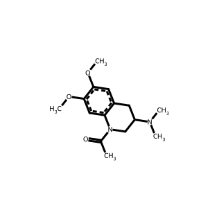 COc1cc2c(cc1OC)N(C(C)=O)CC(N(C)C)C2